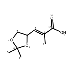 C/C(=C\C1COC(C)(C)O1)C(=O)O